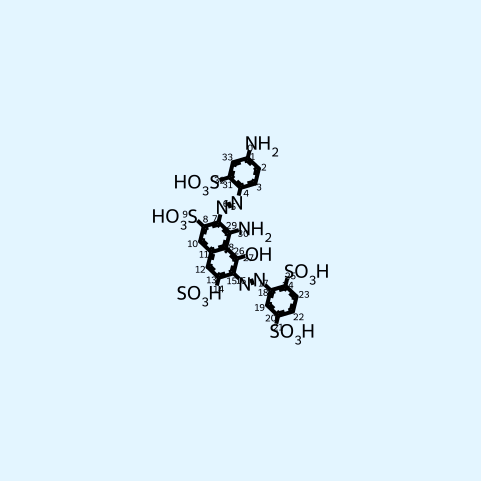 Nc1ccc(N=Nc2c(S(=O)(=O)O)cc3cc(S(=O)(=O)O)c(N=Nc4cc(S(=O)(=O)O)ccc4S(=O)(=O)O)c(O)c3c2N)c(S(=O)(=O)O)c1